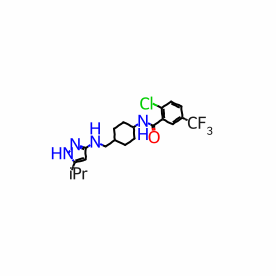 CC(C)c1cc(NCC2CCC(NC(=O)c3cc(C(F)(F)F)ccc3Cl)CC2)n[nH]1